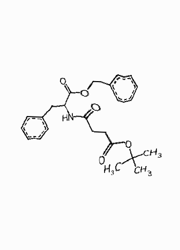 CC(C)(C)OC(=O)CCC(=O)NC(Cc1ccccc1)C(=O)OCc1ccccc1